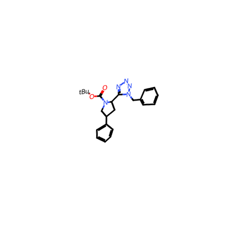 CC(C)(C)OC(=O)N1CC(c2ccccc2)CC1c1nnnn1Cc1ccccc1